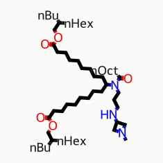 CCCCCCCCC(=O)N(CCCNC1CN(C)C1)C(CCCCCCCCC(=O)OCC(CCCC)CCCCCC)CCCCCCCCC(=O)OCC(CCCC)CCCCCC